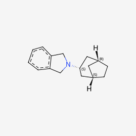 c1ccc2c(c1)CN([C@@H]1C[C@@H]3CC[C@@H](C3)C1)C2